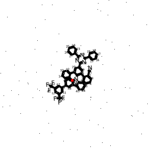 N#Cc1ccccc1-c1cc(-c2nc(-c3ccccc3)nc(-c3ccccc3)n2)cc(-c2ccccc2C#N)c1-n1c2ccccc2c2cc(-c3cc(C(F)(F)F)cc(C(F)(F)F)c3)ccc21